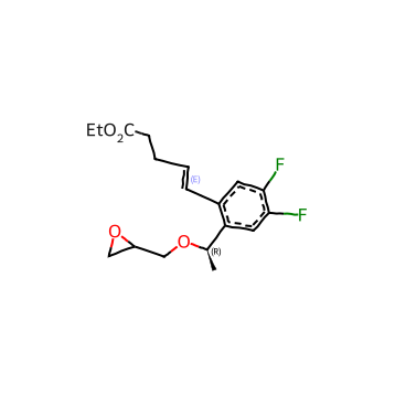 CCOC(=O)CC/C=C/c1cc(F)c(F)cc1[C@@H](C)OCC1CO1